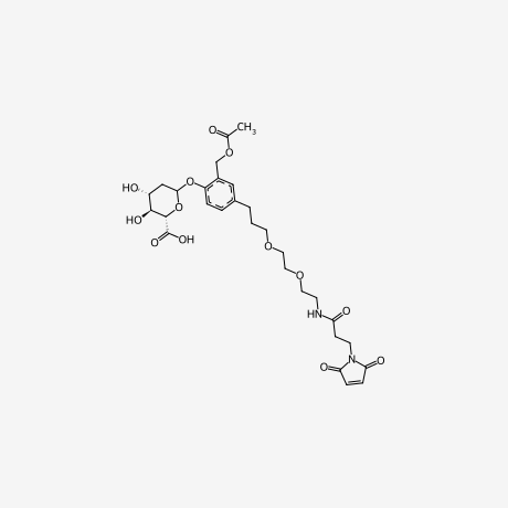 CC(=O)OCc1cc(CCCOCCOCCNC(=O)CCN2C(=O)C=CC2=O)ccc1OC1C[C@@H](O)[C@H](O)[C@@H](C(=O)O)O1